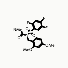 CNC(=O)N(Cc1ccc(OC)cc1OC)S(=O)(=O)c1cc(F)c(F)cc1F